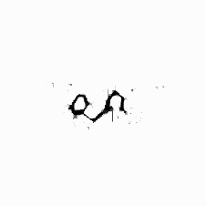 CCC(C)c1nc(Cc2c(C)cc(OCN)c(F)c2C)ccc1OCOC